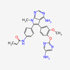 C=CC(=O)Nc1ccc(-c2c(-c3ccc(Oc4ncc(N)cn4)c(OC)c3)c3c(N)ncnc3n2C)cc1